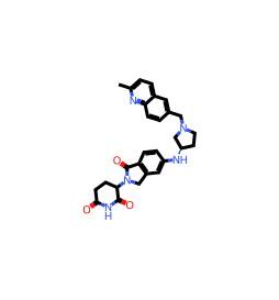 Cc1ccc2cc(CN3CC[C@H](Nc4ccc5c(c4)CN(C4CCC(=O)NC4=O)C5=O)C3)ccc2n1